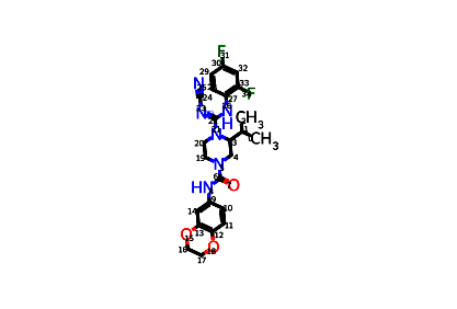 CC(C)C1CN(C(=O)Nc2ccc3c(c2)OCCO3)CCN1/C(=N/C#N)Nc1ccc(F)cc1F